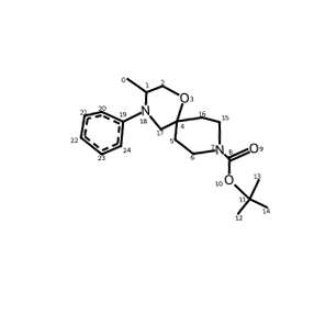 CC1COC2(CCN(C(=O)OC(C)(C)C)CC2)CN1c1ccccc1